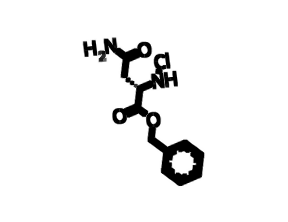 NC(=O)C[C@H](NCl)C(=O)OCc1ccccc1